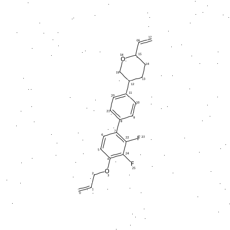 C=CCOc1ccc(-c2ccc(C3CCC(C=C)OC3)cc2)c(F)c1F